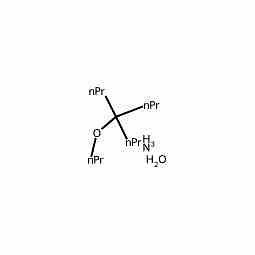 CCCOC(CCC)(CCC)CCC.N.O